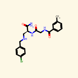 NC(=O)[C@H](CNCc1ccc(Br)cc1)NC(=O)CNC(=O)c1cccc(C(F)(F)F)c1